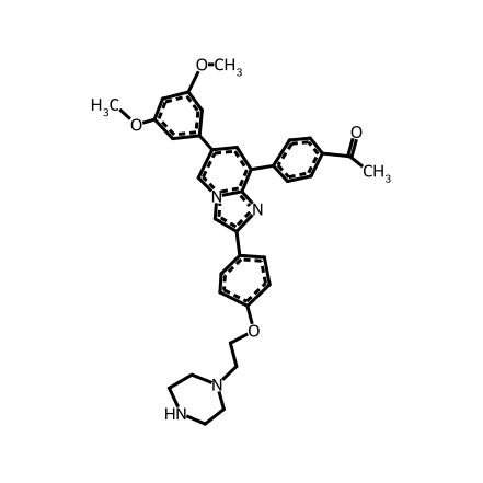 COc1cc(OC)cc(-c2cc(-c3ccc(C(C)=O)cc3)c3nc(-c4ccc(OCCN5CCNCC5)cc4)cn3c2)c1